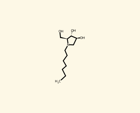 CCCCCCCN1C[C@H](O)[C@@H](O)[C@@H]1CO